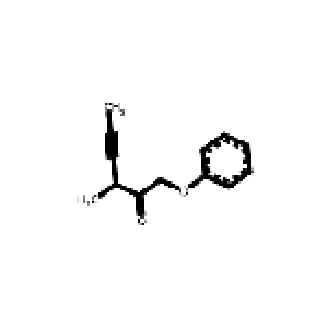 CC#CC(C)C(=O)COc1ccccc1